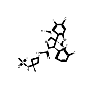 CC(C)(C)C[C@H]1N[C@@H](C(=O)N[C@H]2C[C@@](C)(NS(C)(=O)=O)C2)[C@H](c2cccc(Cl)c2F)[C@@]12C(=O)Nc1cc(Cl)c(F)cc12